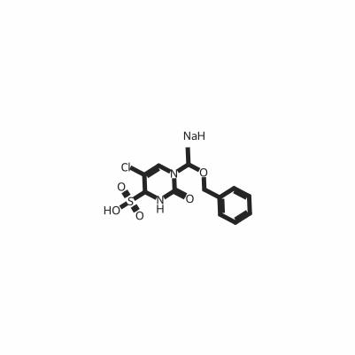 CC(OCc1ccccc1)N1C=C(Cl)C(S(=O)(=O)O)NC1=O.[NaH]